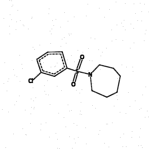 O=S(=O)(c1cccc(Cl)c1)N1CCCCCC1